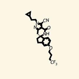 N#Cc1c2c(nn1CCC1CC1)C[C@]1(CCc3cc(OCCCC(F)(F)F)ccc31)NC2=O